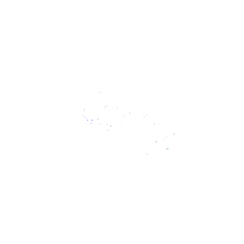 O=S(=O)(Oc1c(F)c(F)c(F)c(F)c1F)c1ccc2c(Cl)ccnc2c1